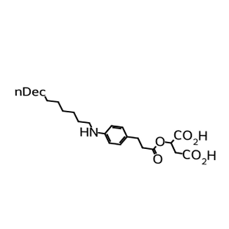 CCCCCCCCCCCCCCCCNc1ccc(CCC(=O)OC(CC(=O)O)C(=O)O)cc1